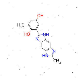 Cc1nc2cc3[nH]c(-c4cc(O)cc(C)c4O)nc3cc2[nH]1